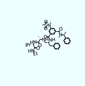 CCNC(=O)[C@@H](NC(=O)[C@H](C)NC[C@H](Cc1ccccc1)NC(=O)c1cc(C(=O)N(C)[C@@H](C)c2ccccc2)cc(N(C)S(C)(=O)=O)c1)C(C)C